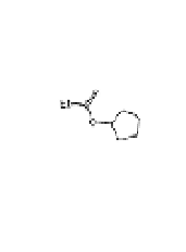 C=C(CC)OC1CCCC1